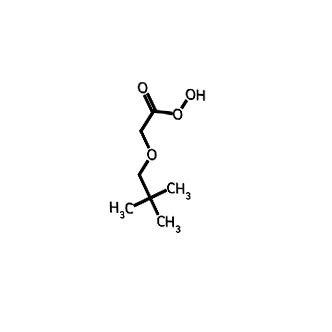 CC(C)(C)COCC(=O)OO